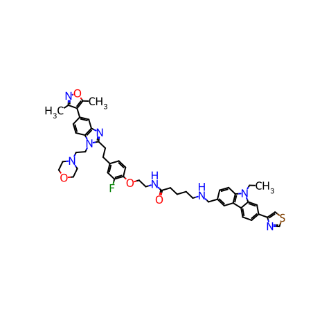 CCn1c2ccc(CNCCCCC(=O)NCCOc3ccc(CCc4nc5cc(-c6c(C)noc6C)ccc5n4CCN4CCOCC4)cc3F)cc2c2ccc(-c3cscn3)cc21